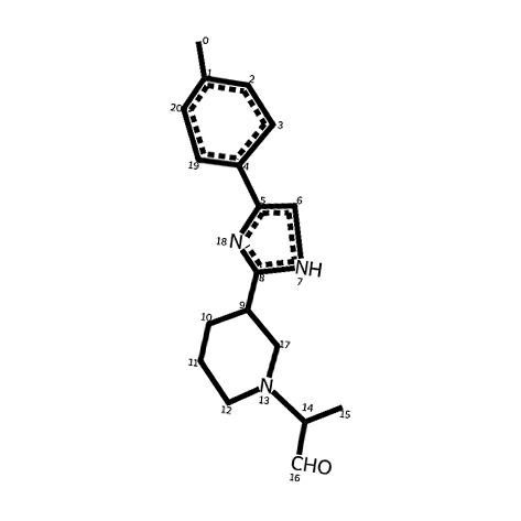 Cc1ccc(-c2c[nH]c(C3CCCN(C(C)C=O)C3)n2)cc1